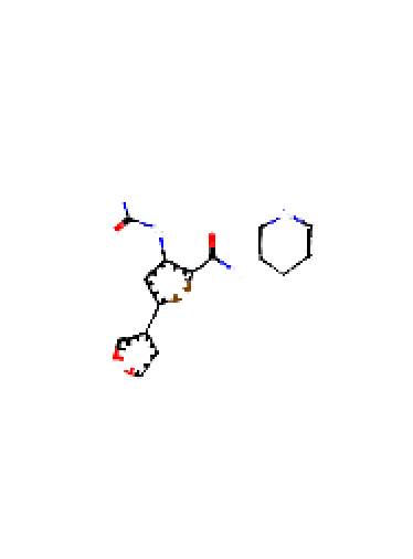 NC(=O)Nc1cc(-c2ccoc2)sc1C(=O)N[C@H]1CCCNC1